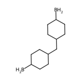 BC1CCC(CC2CCC(B)CC2)CC1